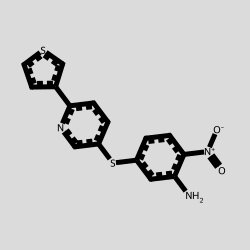 Nc1cc(Sc2ccc(-c3ccsc3)nc2)ccc1[N+](=O)[O-]